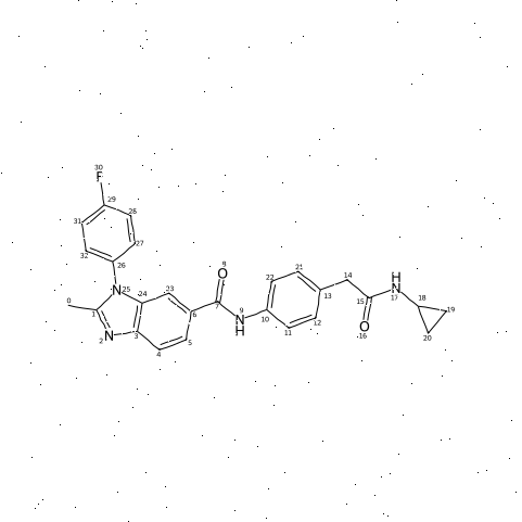 Cc1nc2ccc(C(=O)Nc3ccc(CC(=O)NC4CC4)cc3)cc2n1-c1ccc(F)cc1